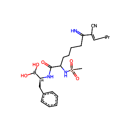 CC(C)C=C(C#N)C(=N)CCCCC(NS(C)(=O)=O)C(=O)N[C@@H](Cc1ccccc1)B(O)O